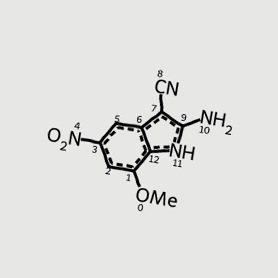 COc1cc([N+](=O)[O-])cc2c(C#N)c(N)[nH]c12